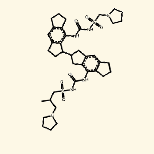 CC(CN1CCCC1)CS(=O)(=O)NC(=O)Nc1c2c(cc3c1CC(C1CCc4cc5c(c(NC(=O)NS(=O)(=O)CN6CCCC6)c41)CCC5)C3)CCC2